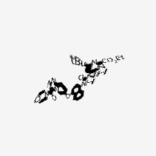 CCOC(=O)c1nc(NC(=O)N[C@H]2CC[C@@H](Oc3ccc4nnc(C(=O)N5CCOCC5)n4c3)c3ccccc32)cc(C(C)(C)C)n1